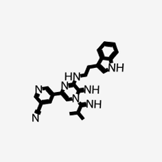 CC(C)C(=N)n1cc(-c2cncc(C#N)c2)nc(NCCc2c[nH]c3ccccc23)c1=N